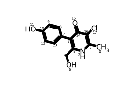 Cc1[nH]c(CO)c(-c2ccc(O)cc2)c(=O)c1Cl